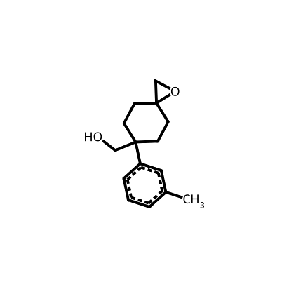 Cc1cccc(C2(CO)CCC3(CC2)CO3)c1